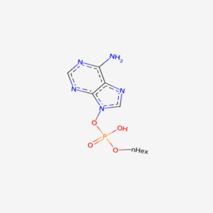 CCCCCCOP(=O)(O)On1cnc2c(N)ncnc21